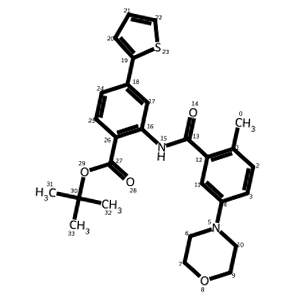 Cc1ccc(N2CCOCC2)cc1C(=O)Nc1cc(-c2cccs2)ccc1C(=O)OC(C)(C)C